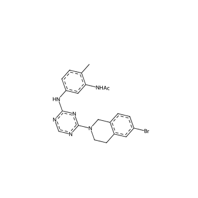 CC(=O)Nc1cc(Nc2ncnc(N3CCc4cc(Br)ccc4C3)n2)ccc1C